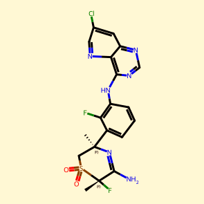 C[C@]1(F)C(N)=N[C@](C)(c2cccc(Nc3ncnc4cc(Cl)cnc34)c2F)CS1(=O)=O